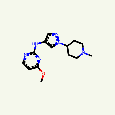 COc1ccnc(Nc2cnn(C3CCN(C)CC3)c2)n1